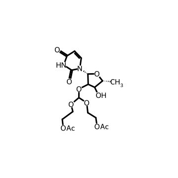 CC(=O)OCCOC(OCCOC(C)=O)OC1C(O)[C@@H](C)O[C@H]1n1ccc(=O)[nH]c1=O